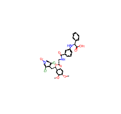 COc1ccc(C(Cc2c(Cl)c[n+]([O-])cc2Cl)OC(=O)CNC(=O)c2cccc(NC(C(=O)O)c3ccccc3)c2)cc1OC